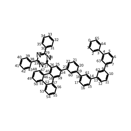 c1ccc(-c2cccc(-c3cccc(-c4cccc(-c5cccc(-c6cc(-c7nc(-c8ccccc8)nc(-c8ccccc8)n7)c7c8ccccc8c8ccccc8c7c6)c5)c4)c3)c2)cc1